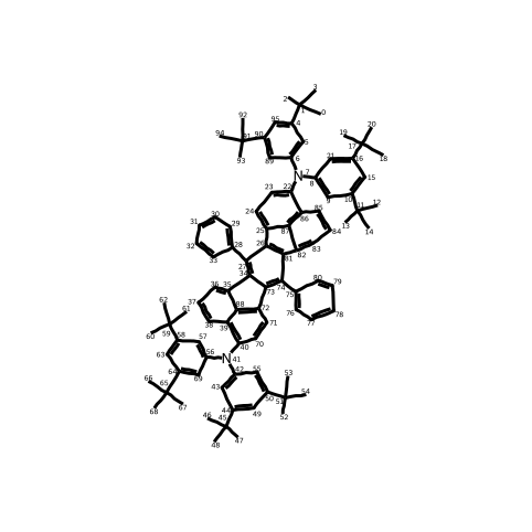 CC(C)(C)c1cc(N(c2cc(C(C)(C)C)cc(C(C)(C)C)c2)c2ccc3c4c(-c5ccccc5)c5c6cccc7c(N(c8cc(C(C)(C)C)cc(C(C)(C)C)c8)c8cc(C(C)(C)C)cc(C(C)(C)C)c8)ccc(c5c(-c5ccccc5)c4c4cccc2c43)c76)cc(C(C)(C)C)c1